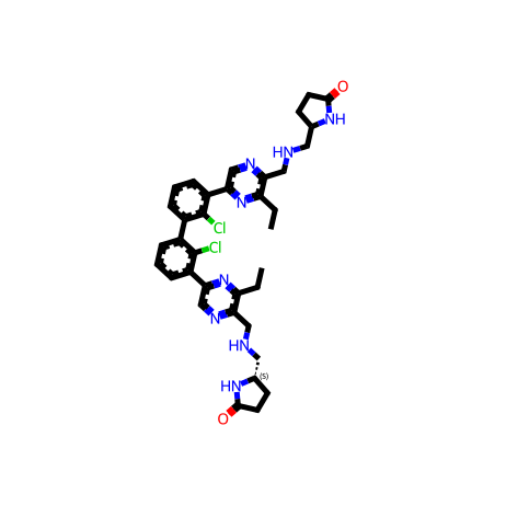 CCc1nc(-c2cccc(-c3cccc(-c4cnc(CNC[C@@H]5CCC(=O)N5)c(CC)n4)c3Cl)c2Cl)cnc1CNCC1CCC(=O)N1